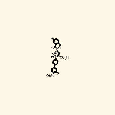 COc1ccc(-c2ccc(N([C@H](CCn3nnc4ccc(C)cc4c3=O)C(=O)O)S(C)(=O)=O)cc2)cc1F